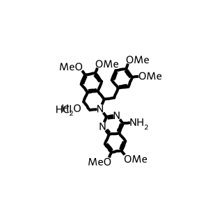 COc1ccc(CC2c3cc(OC)c(OC)cc3CCN2c2nc(N)c3cc(OC)c(OC)cc3n2)cc1OC.Cl.O